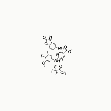 COC(=O)c1cnc(Nc2cc(C)c(F)c(OC)c2)nc1Nc1ccc2oc(=O)[nH]c2c1.O=C(O)C(F)(F)F